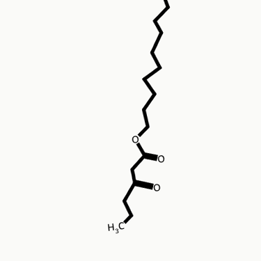 CCCCCCCCCCOC(=O)CC(=O)CCC